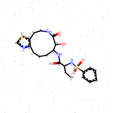 CC(C)CC(NS(=O)(=O)c1ccccc1)C(=O)NC1CCCc2ncsc2CCNC(=O)C1O